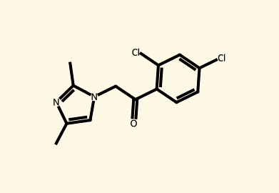 Cc1cn(CC(=O)c2ccc(Cl)cc2Cl)c(C)n1